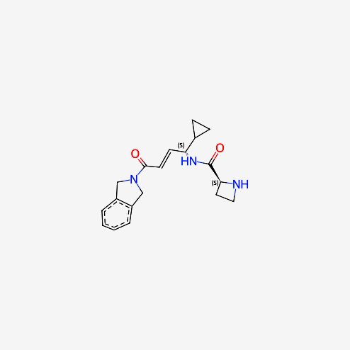 O=C(N[C@H](C=CC(=O)N1Cc2ccccc2C1)C1CC1)[C@@H]1CCN1